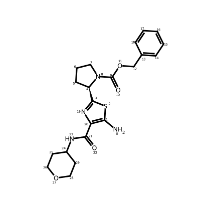 Nc1sc([C@H]2CCCN2C(=O)OCc2ccccc2)nc1C(=O)NC1CCOCC1